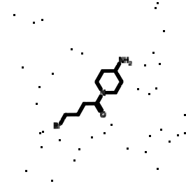 NC1CCN(C(=O)CCCBr)CC1